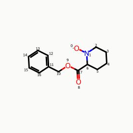 [O]N1CCCCC1C(=O)OCc1ccccc1